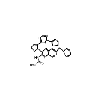 CC(C)(C)C(=O)Nc1nc2ccc(Cc3ccccc3)cc2cc1C1CCC=C1c1cc(C2=CCCC2)ncn1